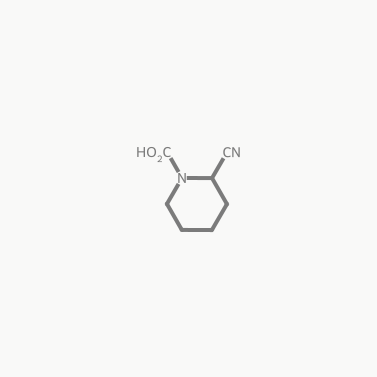 N#CC1CCCCN1C(=O)O